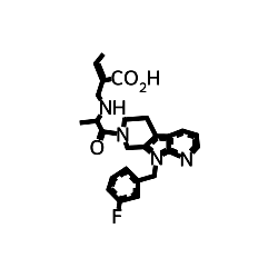 C/C=C(/CNC(C)C(=O)N1CCc2c(n(Cc3cccc(F)c3)c3ncccc23)C1)C(=O)O